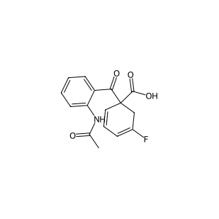 CC(=O)Nc1ccccc1C(=O)C1(C(=O)O)C=CC=C(F)C1